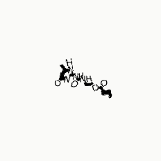 CC=CC(=O)OCCNC(=O)Nc1nc(=O)cc(C)[nH]1